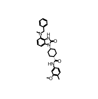 COc1cc(NC(=O)[C@H]2CC[C@@H](n3c(=O)[nH]c4c(N(C)Cc5ccccc5)cccc43)CC2)ccc1C